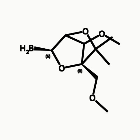 B[C@@H]1O[C@]2(COC)C(OC)C1OC2(C)C